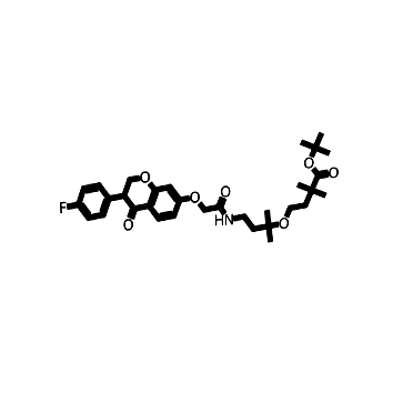 CC(C)(C)OC(=O)C(C)(C)CCOC(C)(C)CCNC(=O)COc1ccc2c(c1)OCC(c1ccc(F)cc1)C2=O